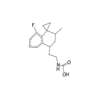 CC1CC(CCNC(=O)O)c2cccc(F)c2C12CC2